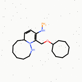 PNC1=C(COC2CCCCCCC2)N2NCCCCCCC2C=C1